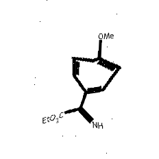 CCOC(=O)C(=N)c1ccc(OC)cc1